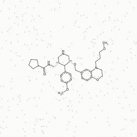 COCCCN1CCOc2ccc(CO[C@H]3CNC[C@@H](CNC(=O)C4CCCC4)C3c3ccc(OC)cc3)cc21